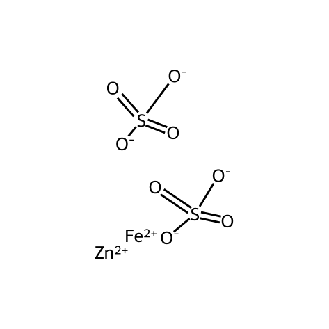 O=S(=O)([O-])[O-].O=S(=O)([O-])[O-].[Fe+2].[Zn+2]